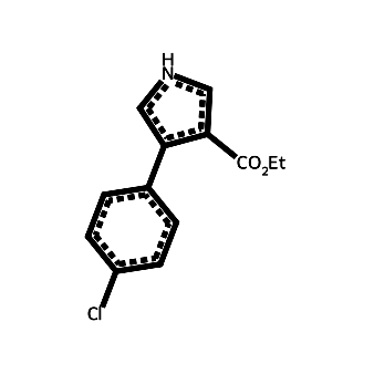 CCOC(=O)c1c[nH]cc1-c1ccc(Cl)cc1